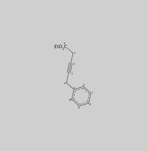 CCOC(=O)CC#CCc1ccccc1